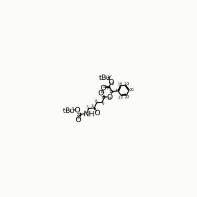 CC(C)(C)OC(=O)NCC(=O)CCC(=O)OC(C(=O)OC(C)(C)C)c1ccccc1